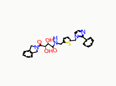 O=C(NCc1ccc(Cn2ccnc2-c2ccccc2)s1)[C@H](O)[C@@H](O)C(=O)N1Cc2ccccc2C1